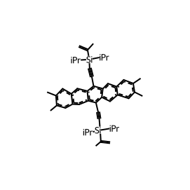 C=C(C)[Si](C#Cc1c2cc3cc(C)c(C)cc3cc2c(C#C[Si](C(=C)C)(C(C)C)C(C)C)c2cc3cc(C)c(C)cc3cc12)(C(C)C)C(C)C